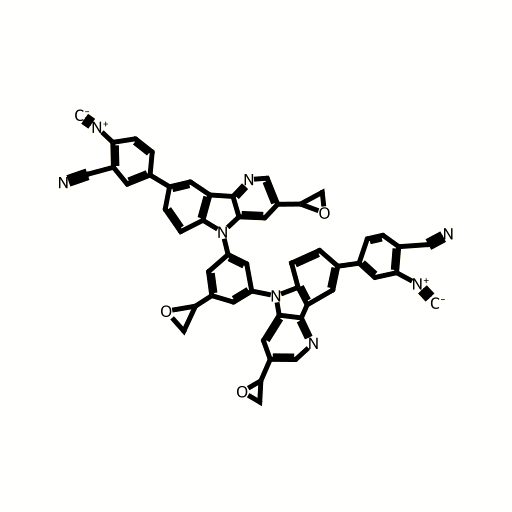 [C-]#[N+]c1ccc(-c2ccc3c(c2)c2ncc(C4CO4)cc2n3-c2cc(C3CO3)cc(-n3c4ccc(-c5ccc(C#N)c([N+]#[C-])c5)cc4c4ncc(C5CO5)cc43)c2)cc1C#N